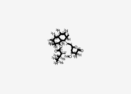 [2H]O[C@@H]1CC(CC[C@@H]2[C@@H]3C(=C([2H])[C@]([2H])(C)C([2H])([2H])C3OC(=O)[C@@H](C)C([2H])([2H])C([2H])([2H])[2H])C([2H])=C([2H])[C@]2([2H])C)OC(=O)C1([2H])[2H]